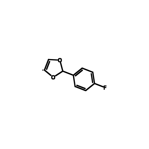 Fc1ccc(C2O[C]=CO2)cc1